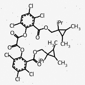 CC(C)C1(COC(=O)c2c(Cl)c(Cl)cc(Cl)c2OC(=O)C(=O)Oc2c(Cl)cc(Cl)c(Cl)c2C(=O)OCC2(C(C)C)C(C)C2C)C(C)C1C